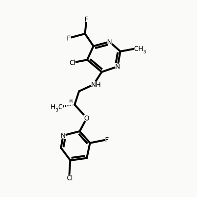 Cc1nc(NC[C@@H](C)Oc2ncc(Cl)cc2F)c(Cl)c(C(F)F)n1